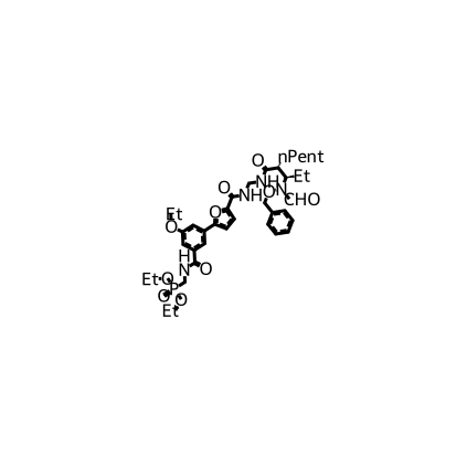 CCCCC[C@@H](C(=O)NCNC(=O)c1ccc(-c2cc(OCC)cc(C(=O)NCP(=O)(OCC)OCC)c2)o1)[C@@H](CC)N(C=O)OCc1ccccc1